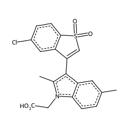 Cc1ccc2c(c1)c(C1=CS(=O)(=O)c3ccc(Cl)cc31)c(C)n2CC(=O)O